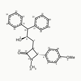 COc1ccc([C@H]2C(C[C@@H](O)C(c3ccccc3)c3ccccc3)C(=O)N2C)cc1